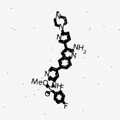 C=S(=O)(Nc1cc(-c2ccc3nc(N)c(-c4ccc(N5CCN(C)CC5)nc4)cc3c2)cnc1OC)c1ccc(F)cc1F